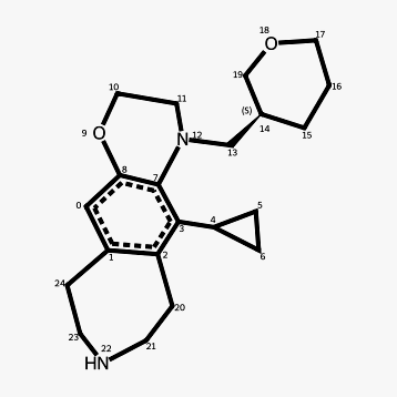 c1c2c(c(C3CC3)c3c1OCCN3C[C@@H]1CCCOC1)CCNCC2